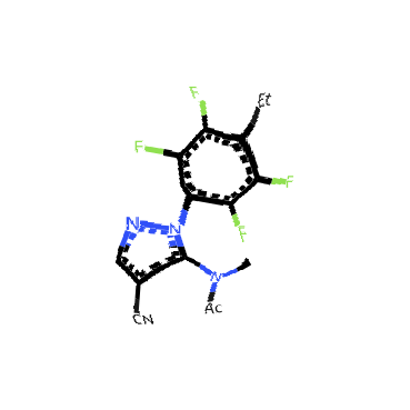 CCc1c(F)c(F)c(-n2ncc(C#N)c2N(C)C(C)=O)c(F)c1F